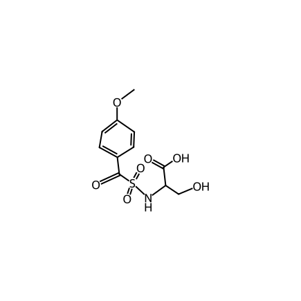 COc1ccc(C(=O)S(=O)(=O)NC(CO)C(=O)O)cc1